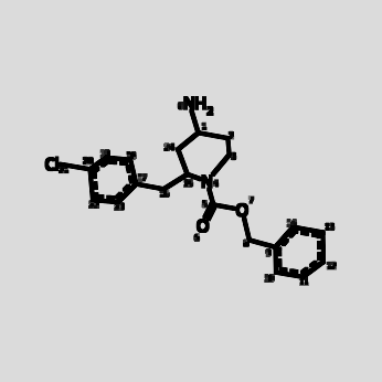 NC1CCN(C(=O)OCc2ccccc2)C(Cc2ccc(Cl)cc2)C1